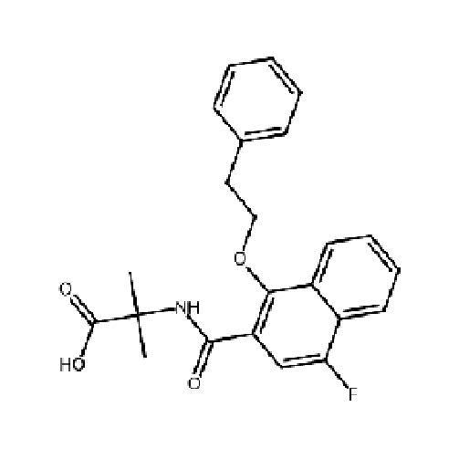 CC(C)(NC(=O)c1cc(F)c2ccccc2c1OCCc1ccccc1)C(=O)O